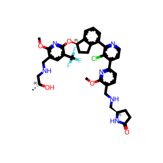 COc1nc(-c2ccnc(-c3cccc4c3CC[C@H]4Oc3nc(OC)c(CNC[C@@H](C)O)cc3C(F)(F)F)c2Cl)ccc1CNC[C@H]1CCC(=O)N1